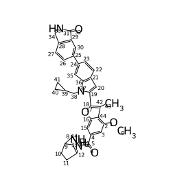 COc1cc(C(=O)N2CC3CCC2[C@@H]3N)cc2oc(-c3cc4ccc(-c5ccc6c(c5)C(=O)NC6)cc4n3CC3CC3)c(C)c12